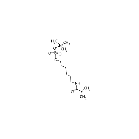 C=C(C)C(=O)NCCCCCCOP(=O)([O-])O[N+](C)(C)C